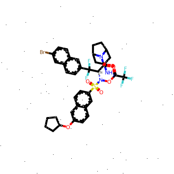 NC1CC2CCC(C1)N2C(=O)[C@H](N(OC(=O)C(F)(F)F)S(=O)(=O)c1ccc2cc(OC3CCCC3)ccc2c1)C(F)(F)c1ccc2cc(Br)ccc2c1